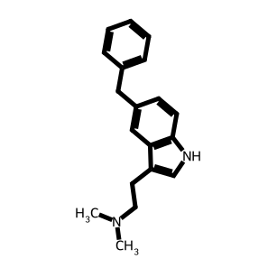 CN(C)CCc1c[nH]c2ccc(Cc3ccccc3)cc12